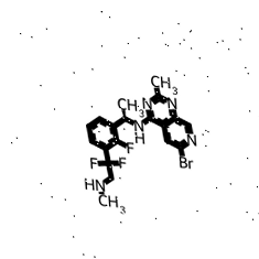 CNCC(F)(F)c1cccc([C@@H](C)Nc2nc(C)nc3cnc(Br)cc23)c1F